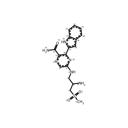 CS(=O)(=O)CC(N)CNc1cnc(C(N)=O)c(-c2cc3ccccc3[nH]2)n1